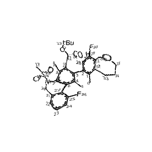 Cc1c(-c2c(C)c3c(c(C)c2[C@H](OC(C)(C)C)C(=O)O)N(S(C)(=O)=O)Cc2cccc(F)c2-3)cc(F)c2c1CCCO2